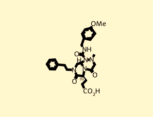 COc1ccc(CNC(=O)N2[C@H]3CN(CCc4ccccc4)C(=O)[C@H](CCC(=O)O)N3C(=O)CN2C)cc1